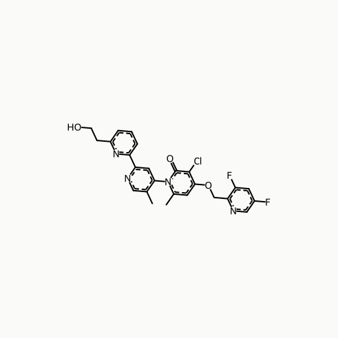 Cc1cnc(-c2cccc(CCO)n2)cc1-n1c(C)cc(OCc2ncc(F)cc2F)c(Cl)c1=O